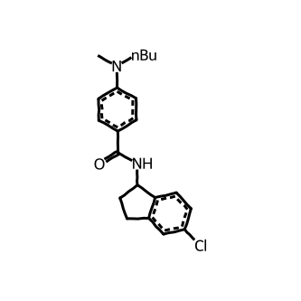 CCCCN(C)c1ccc(C(=O)NC2CCc3cc(Cl)ccc32)cc1